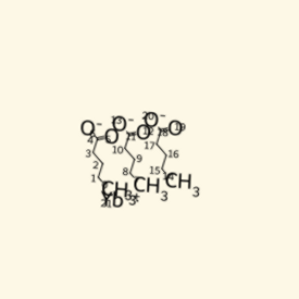 CCCCC(=O)[O-].CCCCC(=O)[O-].CCCCC(=O)[O-].[Yb+3]